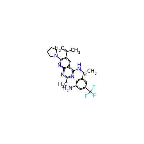 C=C(C)c1cc2c(N[C@H](C)c3cc(N)cc(C(F)(F)F)c3)nc(C)nc2nc1N1CCCC1